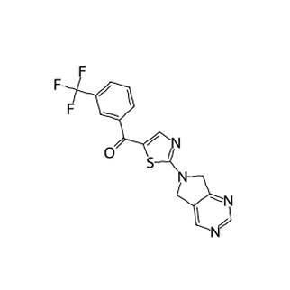 O=C(c1cccc(C(F)(F)F)c1)c1cnc(N2Cc3cncnc3C2)s1